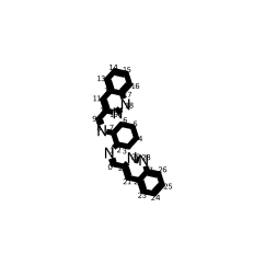 C(=N/C1CCCCC1/N=C\c1cc2ccccc2nn1)/c1cc2ccccc2nn1